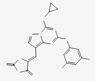 O=C1NC(=O)/C(=C/c2cnn3c(NC4CC4)nc(Nc4cc(F)cc(F)c4)nc23)N1